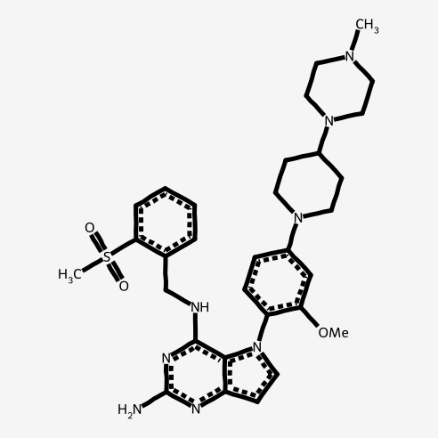 COc1cc(N2CCC(N3CCN(C)CC3)CC2)ccc1-n1ccc2nc(N)nc(NCc3ccccc3S(C)(=O)=O)c21